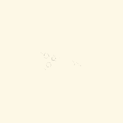 CCCNC(=O)NCCCCCSc1nc(-c2ccc(N(C)C)cc2)c(-c2ccc(N(C)C)cc2)[nH]1